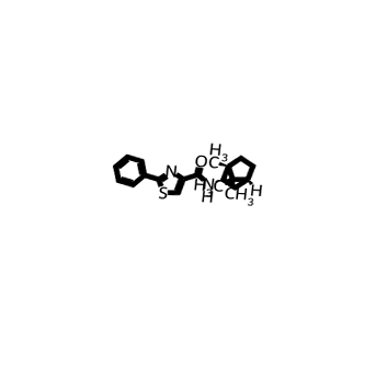 CC1(C)[C@@H]2CC[C@@]1(C)[C@@H](NC(=O)c1csc(-c3ccccc3)n1)C2